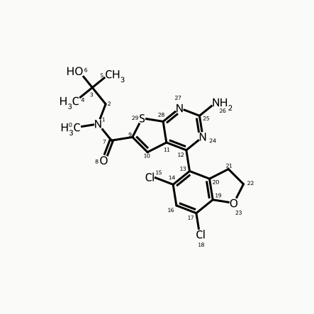 CN(CC(C)(C)O)C(=O)c1cc2c(-c3c(Cl)cc(Cl)c4c3CCO4)nc(N)nc2s1